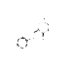 CN1CCC(=N)/C(=C\Nc2ccccc2)C1